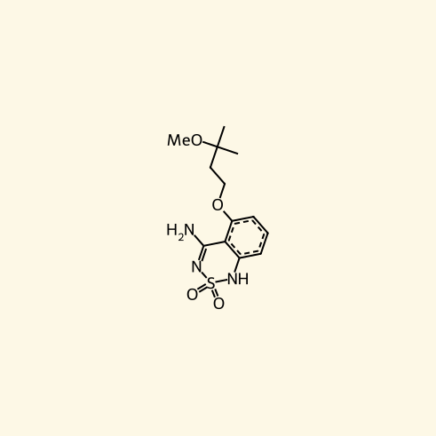 COC(C)(C)CCOc1cccc2c1C(N)=NS(=O)(=O)N2